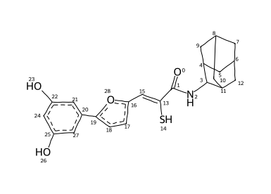 O=C(NC1C2CC3CC(C2)CC1C3)/C(S)=C/c1ccc(-c2cc(O)cc(O)c2)o1